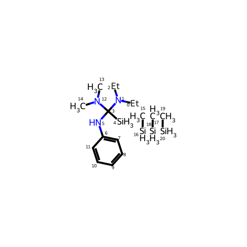 CCN(CC)C([SiH3])(Nc1ccccc1)N(C)C.C[SiH3].C[SiH3].C[SiH3]